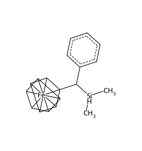 C[SiH](C)C(c1ccccc1)[C]12[CH]3[CH]4[CH]5[CH]1[Fe]45321678[CH]2[CH]1[CH]6[CH]7[CH]28